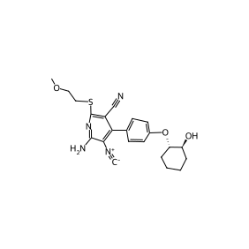 [C-]#[N+]c1c(N)nc(SCCOC)c(C#N)c1-c1ccc(O[C@H]2CCCC[C@@H]2O)cc1